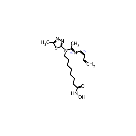 C=C/C=C\N=C(/C)N(CCCCCCCC(=O)NO)c1nnc(C)s1